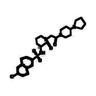 O=C(CN1CCC[C@H](NS(=O)(=O)c2ccc3cc(Cl)ccc3c2)C1=O)N1CCC(N2CCCC2)CC1